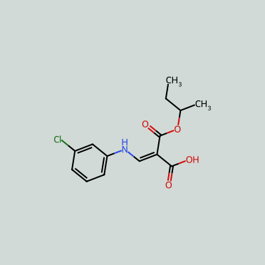 CCC(C)OC(=O)C(=CNc1cccc(Cl)c1)C(=O)O